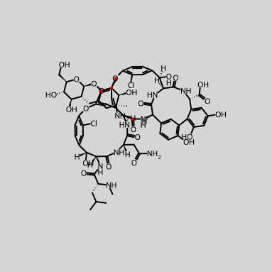 CN[C@H](CC(C)C)C(=O)N[C@H]1C(=O)N[C@@H](CC(N)=O)C(=O)N[C@H]2C(=O)N[C@H]3C(=O)N[C@H](C(=O)N[C@H](C(=O)O)c4cc(O)cc(O)c4-c4cc3ccc4O)[C@H](O)c3ccc(c(Cl)c3)Oc3cc2cc(c3O[C@@H]2O[C@H](CO)[C@@H](O)[C@H](O)[C@H]2CC2C[C@](C)(N)[C@H](O)[C@H](C)O2)Oc2ccc(cc2Cl)[C@H]1O